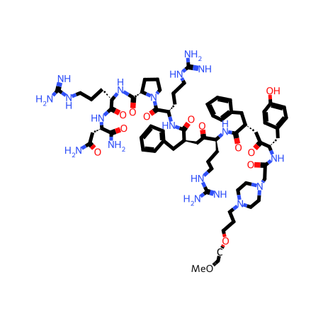 COCCOCCCN1CCN(CC(=O)N[C@@H](Cc2ccc(O)cc2)C(=O)C[C@@H](Cc2ccccc2)C(=O)N[C@@H](CCCNC(=N)N)C(=O)C[C@@H](Cc2ccccc2)C(=O)N[C@@H](CCCNC(=N)N)C(=O)N2CCC[C@H]2C(=O)N[C@@H](CCCNC(=N)N)C(=O)N[C@@H](CC(N)=O)C(N)=O)CC1